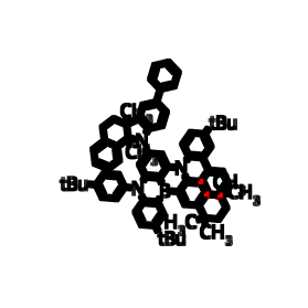 CC(C)(C)c1ccc(N2c3ccc(C(C)(C)C)cc3B3c4cc5c(cc4N(c4ccc(C(C)(C)C)cc4-c4ccccc4)c4cc(N6c7ccc(-c8ccccc8)cc7C7(C)CCc8ccccc8C67C)cc2c43)C(C)(C)CCC5(C)C)cc1